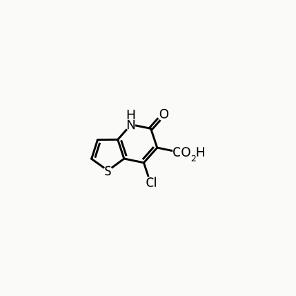 O=C(O)c1c(Cl)c2sccc2[nH]c1=O